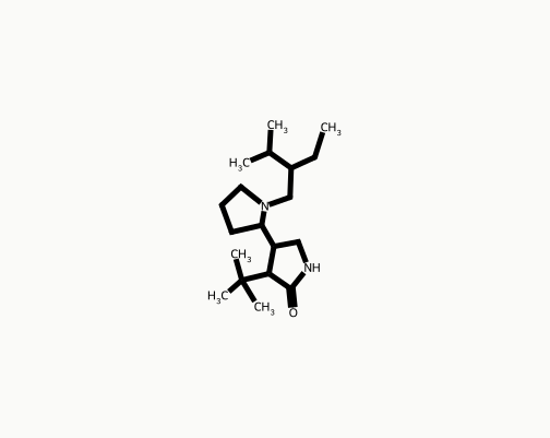 CCC(CN1CCCC1C1CNC(=O)C1C(C)(C)C)C(C)C